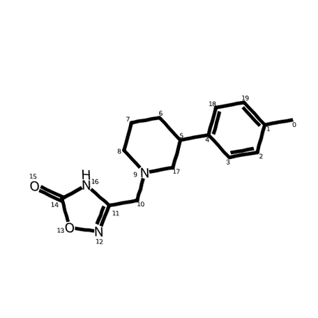 Cc1ccc(C2CCCN(Cc3noc(=O)[nH]3)C2)cc1